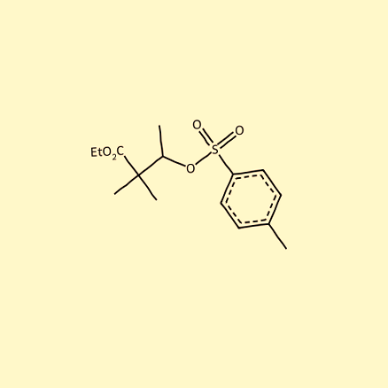 CCOC(=O)C(C)(C)C(C)OS(=O)(=O)c1ccc(C)cc1